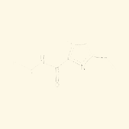 C=Cc1csc(C(=O)NCC(C)C)n1